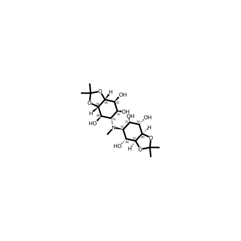 CN([C@H]1[C@H](O)[C@H](O)[C@H]2OC(C)(C)O[C@H]2[C@@H]1O)[C@H]1[C@H](O)[C@H](O)[C@H]2OC(C)(C)O[C@H]2[C@@H]1O